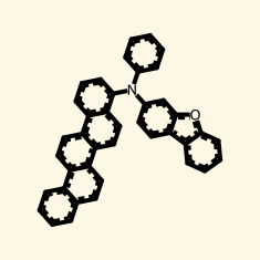 c1ccc(N(c2ccc3c(c2)oc2ccccc23)c2cccc3c2ccc2c3ccc3c4ccccc4ccc32)cc1